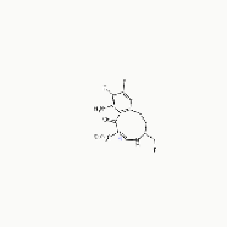 CCOC(=O)/C1=C/NC(CF)CCc2cc(F)c(F)c(N)c2C1=O